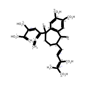 C=C=C(/C=C(\C(=C)C(=O)O)C(=O)O)C1(Br)CCC(/C=C/C(C(=O)O)=C(\C)C(=O)O)C(Br)c2cc(C(=O)O)c(C(=O)O)cc21